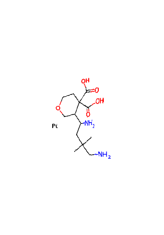 CC(C)(CN)CC(N)C1COCCC1(C(=O)O)C(=O)O.[Pt]